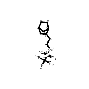 O=S(=O)(NCCC1CC2CCC1C2)C(F)(F)F